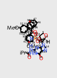 COc1ccc(C(OC[C@@]23CO[C@@H]([C@H](n4cnc5c(=O)[nH]c(NC(=O)C(C)C)nc54)O2)[C@@H]3OP2O[C@H](c3ccccc3)[C@@H]3CCCN32)(c2ccccc2)c2ccc(OC)cc2)cc1